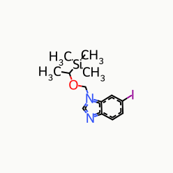 CC(OCn1cnc2ccc(I)cc21)[Si](C)(C)C